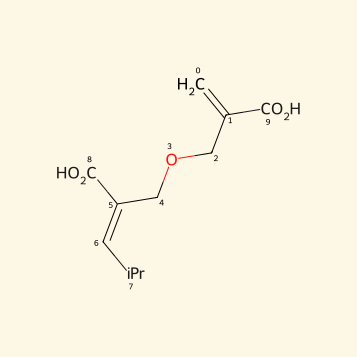 C=C(COCC(=CC(C)C)C(=O)O)C(=O)O